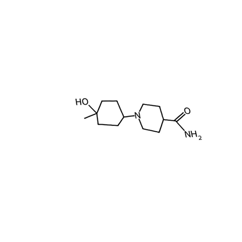 CC1(O)CCC(N2CCC(C(N)=O)CC2)CC1